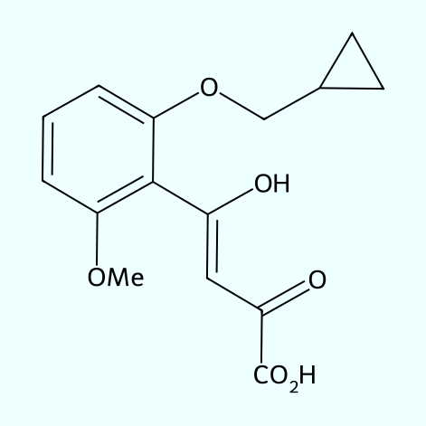 COc1cccc(OCC2CC2)c1C(O)=CC(=O)C(=O)O